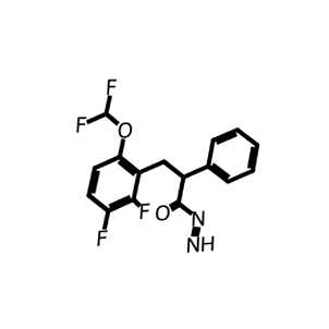 N=NC(=O)C(Cc1c(OC(F)F)ccc(F)c1F)c1ccccc1